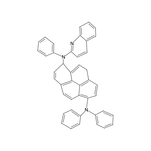 C1=CC(N(c2ccccc2)c2ccc3ccccc3n2)C2=CCc3ccc(N(c4ccccc4)c4ccccc4)c4ccc1c2c34